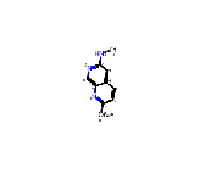 CCNc1cc2ccc(OC)nc2cn1